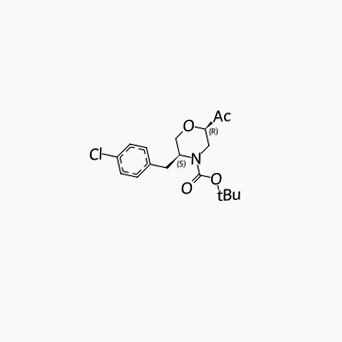 CC(=O)[C@H]1CN(C(=O)OC(C)(C)C)[C@@H](Cc2ccc(Cl)cc2)CO1